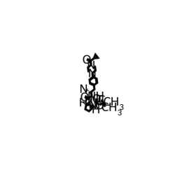 CC(C)(C)OC(=O)N1[C@@H]2CC[C@@H](C2)[C@H]1C(=O)N[C@H](C#N)Cc1ccc(N2CCN(C(=O)C3CC3)CC2)cc1